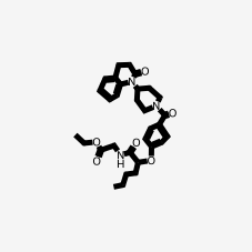 CCCCC(Oc1ccc(C(=O)N2CCC(N3C(=O)CCc4ccccc43)CC2)cc1)C(=O)NCC(=O)OCC